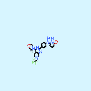 C[C@H]1COCCN1c1nc(-c2ccc(Nc3cccc(=O)[nH]3)cc2)nc2c1CCN(CC(F)(F)F)C2